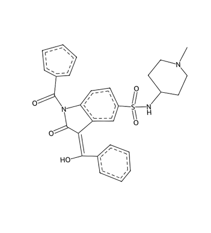 CN1CCC(NS(=O)(=O)c2ccc3c(c2)/C(=C(/O)c2ccccc2)C(=O)N3C(=O)c2ccccc2)CC1